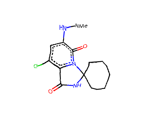 CNNc1cc(Cl)c2n(c1=O)C1(CCCCC1)NC2=O